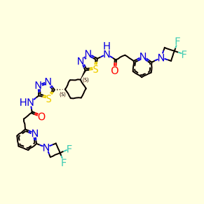 O=C(Cc1cccc(N2CC(F)(F)C2)n1)Nc1nnc([C@H]2CCC[C@H](c3nnc(NC(=O)Cc4cccc(N5CC(F)(F)C5)n4)s3)C2)s1